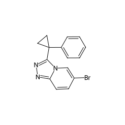 Brc1ccc2nnc(C3(c4ccccc4)CC3)n2c1